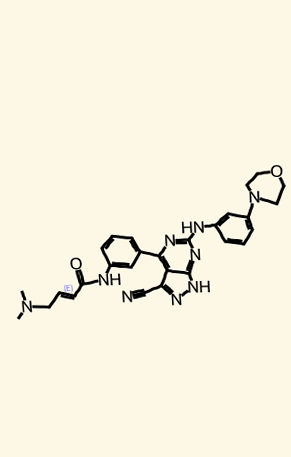 CN(C)C/C=C/C(=O)Nc1cccc(-c2nc(Nc3cccc(N4CCOCC4)c3)nc3[nH]nc(C#N)c23)c1